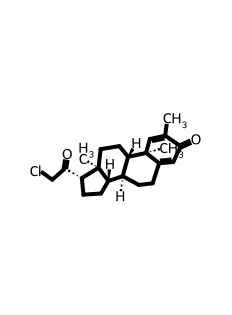 CC1=C[C@@]2(C)C(=CC1=O)CC[C@H]1[C@@H]3CC[C@H](C(=O)CCl)[C@@]3(C)CC[C@@H]12